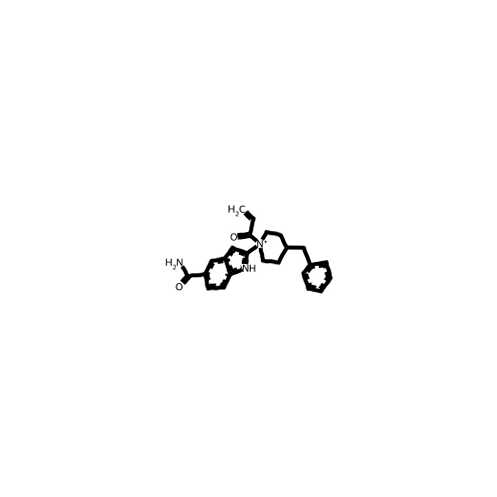 C=CC(=O)[N+]1(c2cc3cc(C(N)=O)ccc3[nH]2)CCC(Cc2ccccc2)CC1